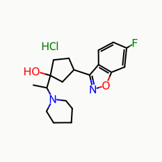 CC(N1CCCCC1)C1(O)CCC(c2noc3cc(F)ccc23)C1.Cl